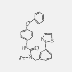 CC(C)N(Cc1cccc(-c2nccs2)c1)C(=O)Nc1ccc(Oc2ccccc2)cc1